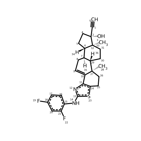 C#C[C@]1(O)CC[C@H]2[C@@H]3CC=C4c5nc(Nc6ccc(F)cc6F)sc5CC[C@]4(C)[C@H]3CC[C@@]21C